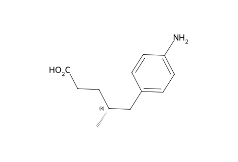 C[C@H](CCC(=O)O)Cc1ccc(N)cc1